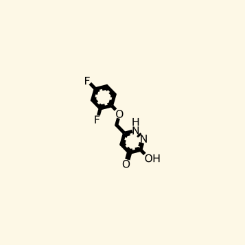 O=c1cc(COc2ccc(F)cc2F)[nH]nc1O